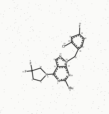 CC(C)(C)c1nc(N2CCC(F)(F)C2)c2cnn(Cc3ccc(F)cc3Cl)c2n1